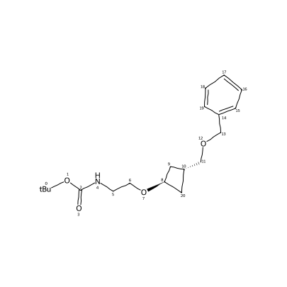 CC(C)(C)OC(=O)NCCO[C@H]1C[C@H](COCc2ccccc2)C1